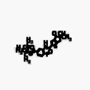 CC1(C)Cc2sc(C(=O)Nc3cc(B4OC(C)(C)C(C)(C)O4)ccc3F)cc2C1=O